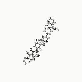 Cc1c(NC(=O)c2c(O)nc3n(c2=O)CCCC3)cccc1Sc1ncc(N2CCC3(CC2)Cc2ncccc2[C@H]3N)nc1N